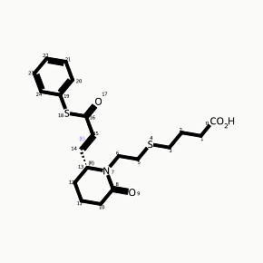 O=C(O)CCCSCCN1C(=O)CCC[C@@H]1/C=C/C(=O)Sc1ccccc1